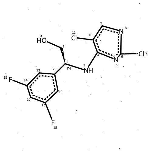 OC[C@@H](Nc1nc(Cl)ncc1Cl)c1cc(F)cc(F)c1